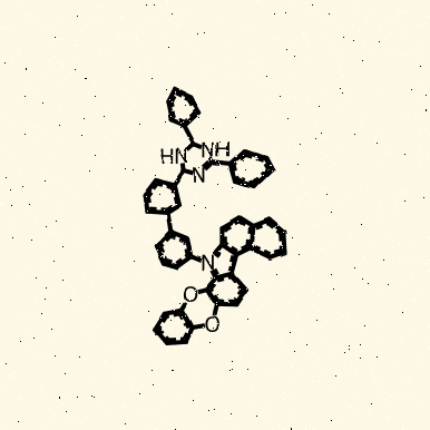 c1ccc(C2=NC(c3cccc(-c4cccc(-n5c6ccc7ccccc7c6c6ccc7c(c65)Oc5ccccc5O7)c4)c3)NC(c3ccccc3)N2)cc1